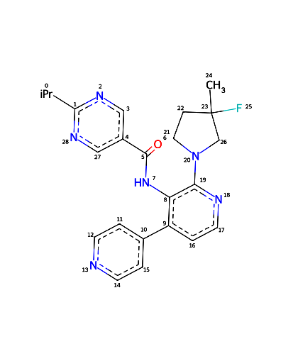 CC(C)c1ncc(C(=O)Nc2c(-c3ccncc3)ccnc2N2CCC(C)(F)C2)cn1